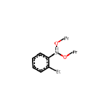 CCc1ccccc1[SiH](OC(C)C)OC(C)C